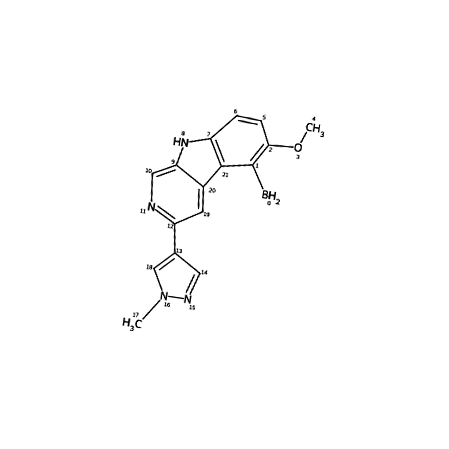 Bc1c(OC)ccc2[nH]c3cnc(-c4cnn(C)c4)cc3c12